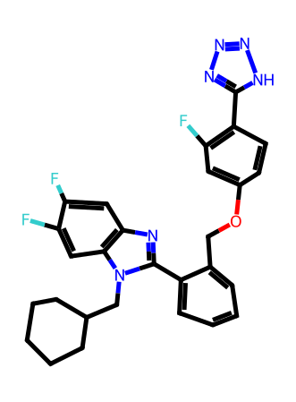 Fc1cc2nc(-c3ccccc3COc3ccc(-c4nnn[nH]4)c(F)c3)n(CC3CCCCC3)c2cc1F